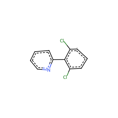 Clc1[c]ccc(Cl)c1-c1ccccn1